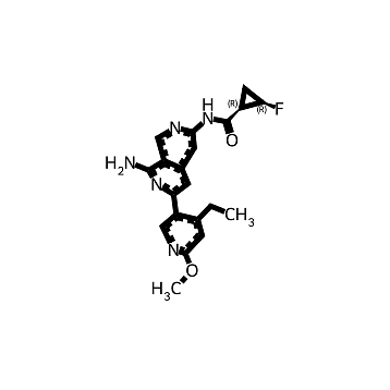 CCc1cc(OC)ncc1-c1cc2cc(NC(=O)[C@H]3C[C@H]3F)ncc2c(N)n1